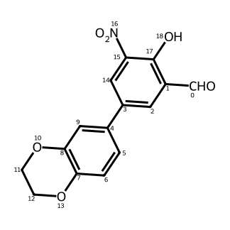 O=Cc1cc(-c2ccc3c(c2)OCCO3)cc([N+](=O)[O-])c1O